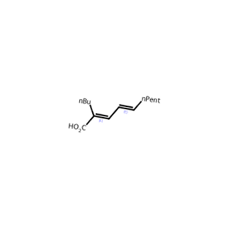 CCCCC/C=C/C=C(\CCCC)C(=O)O